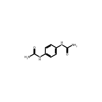 NC(=O)Nc1ccc(NC(N)=O)cc1